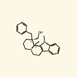 Cn1c2c(c3ccccc31)CCN1CCC[C@](CO)(Cc3ccccc3)[C@]21C